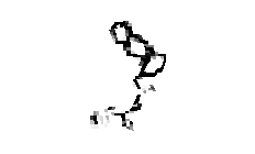 CC(C)(C)OC(=O)CCNCc1cccc2cc3ccccc3cc12